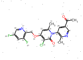 CC(=O)c1cnc(C)c(-n2c(C)cc(OCc3ncc(F)cc3F)c(Cl)c2=O)c1